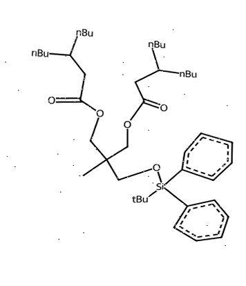 [CH2]C(COC(=O)CC(CCCC)CCCC)(COC(=O)CC(CCCC)CCCC)CO[Si](c1ccccc1)(c1ccccc1)C(C)(C)C